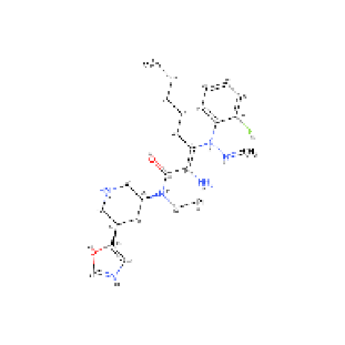 C=NN(/C(CCCCOC)=C(\N)C(=O)N(CC(C)C)[C@@H]1CNC[C@H](c2cnco2)C1)c1ccccc1F